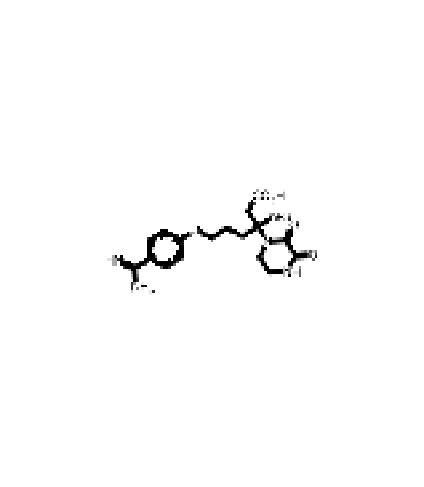 CCCCC(CCCOc1ccc(C(=N)N)cc1)(CC(=O)O)N1CCNC(=O)C1=O